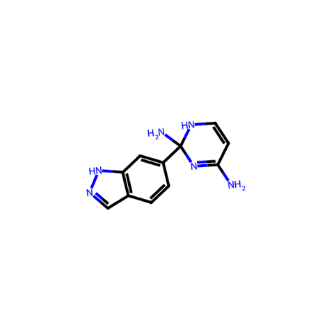 NC1=NC(N)(c2ccc3cn[nH]c3c2)NC=C1